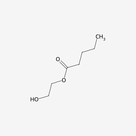 CCCCC(=O)OCCO